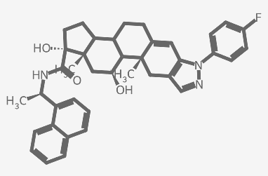 C[C@@H](NC(=O)[C@@]1(O)CCC2C3CCC4=Cc5c(cnn5-c5ccc(F)cc5)C[C@]4(C)C3[C@@H](O)C[C@@]21C)c1cccc2ccccc12